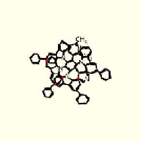 Cc1ccc(-c2c(-n3c4ccccc4c4cc(-c5ccccc5)ccc43)c(-c3ccncc3)c(-n3c4ccccc4c4cc(-c5ccccc5)ccc43)c(-n3c4ccccc4c4cc(-c5ccccc5)ccc43)c2-n2c3ccccc3c3cc(-c4ccccc4)ccc32)c(C)n1